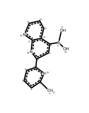 Cc1cccc(-c2cc(B(O)O)c3cccnc3n2)n1